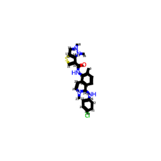 Cc1ccc2c(c1NC(=O)c1csc3c1N(C)N(C)C3)C=CN(C)C2NC1=CC=C(Cl)CC1